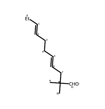 CCC=CCCC=CCC(C)(C)[C]=O